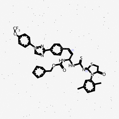 Cc1ccc(C)c(N2C(=O)CS/C2=N\C(=S)NC(/C=C\c2ccc(-c3ncn(-c4ccc(OC(F)(F)F)cc4)n3)cc2)NC(=O)OCc2ccccc2)c1